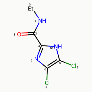 CCNC(=O)c1nc(Cl)c(Cl)[nH]1